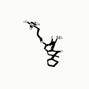 CC1(C2CCCC2)Cc2cc(OCCCS(=O)(=O)O)c(Cl)c(Cl)c2C1=O.O